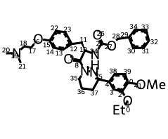 CCOc1cc(C2=NN(C(=O)[C@@H](Cc3ccc(OCCN(C)C)cc3)NC(=O)OCc3ccccc3)CCC2)ccc1OC